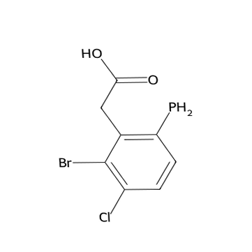 O=C(O)Cc1c(P)ccc(Cl)c1Br